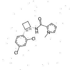 Cn1cccc1C(=O)N[C@H]1CC[C@H]1c1ccc(Cl)cc1Cl